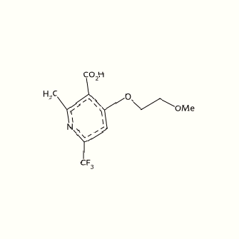 COCCOc1cc(C(F)(F)F)nc(C)c1C(=O)O